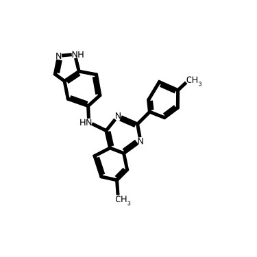 Cc1ccc(-c2nc(Nc3ccc4[nH]ncc4c3)c3ccc(C)cc3n2)cc1